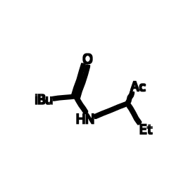 CCC(C)C(=O)NC(CC)C(C)=O